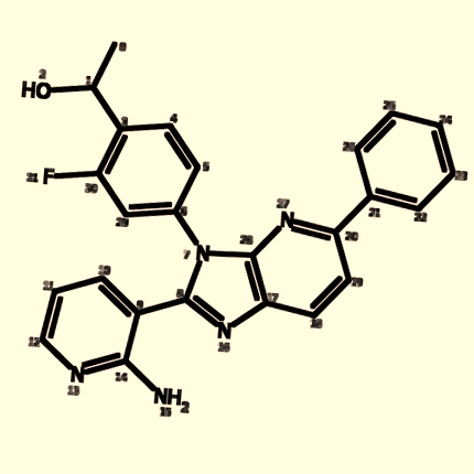 CC(O)c1ccc(-n2c(-c3cccnc3N)nc3ccc(-c4ccccc4)nc32)cc1F